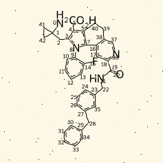 NC1(Cc2c(C(=O)O)c3c(n2-c2ccccc2F)-c2cc(C(=O)NCc4cccc(Cc5ccccc5)c4)ncc2CC3)CC1